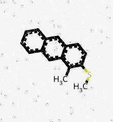 CSc1ccc2cc3ccccc3cc2c1C